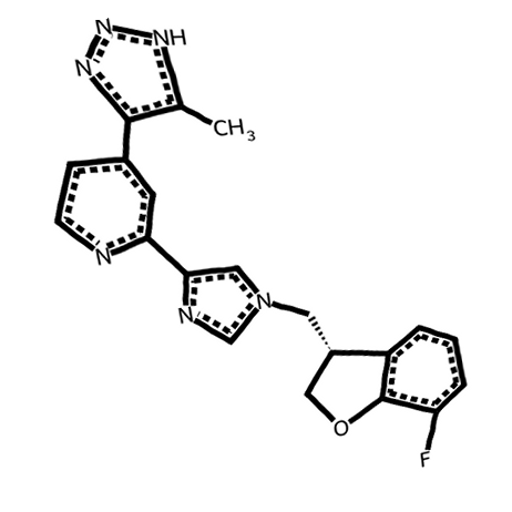 Cc1[nH]nnc1-c1ccnc(-c2cn(C[C@H]3COc4c(F)cccc43)cn2)c1